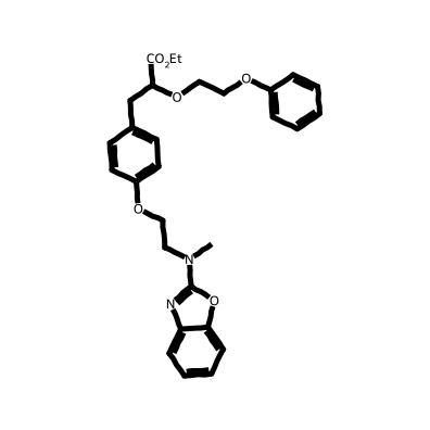 CCOC(=O)C(Cc1ccc(OCCN(C)c2nc3ccccc3o2)cc1)OCCOc1ccccc1